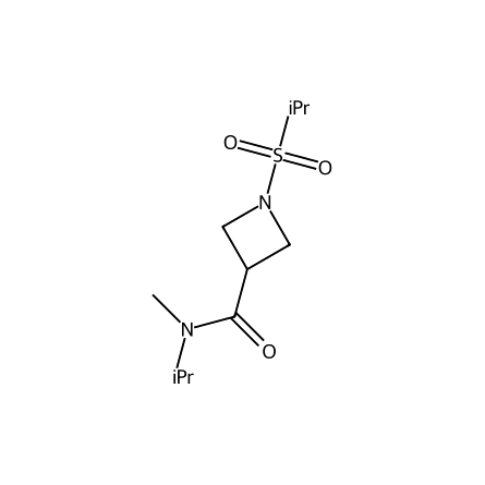 CC(C)N(C)C(=O)C1CN(S(=O)(=O)C(C)C)C1